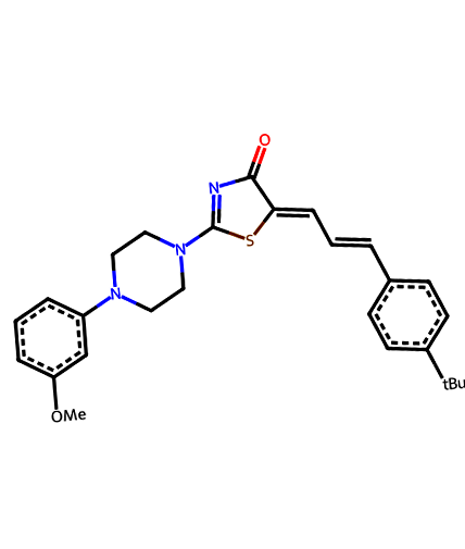 COc1cccc(N2CCN(C3=NC(=O)C(=CC=Cc4ccc(C(C)(C)C)cc4)S3)CC2)c1